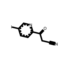 N#CCC(=O)c1ccc(I)cn1